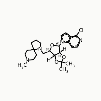 CN1CCC2(CCCN2C[C@H]2O[C@@H](n3ccc4c(Cl)nccc43)[C@@H]3OC(C)(C)O[C@@H]32)CC1